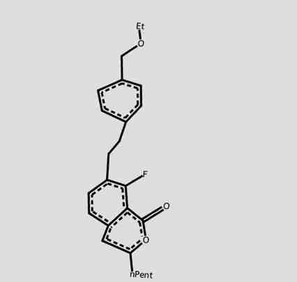 CCCCCc1cc2ccc(CCc3ccc(COCC)cc3)c(F)c2c(=O)o1